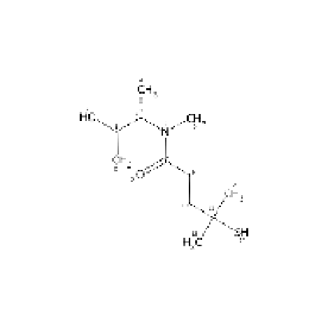 C=C(O)[C@H](C)N(C)C(=O)CCC(C)(C)S